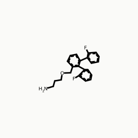 NCCCOCc1cccc(-c2ccccc2F)c1-c1ccccc1F